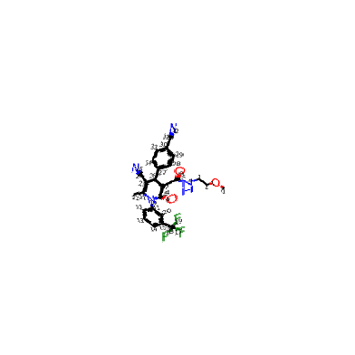 COCCNC(=O)C1C(=O)N(c2cccc(C(F)(F)F)c2)C(C)=C(C#N)C1c1ccc(C#N)cc1